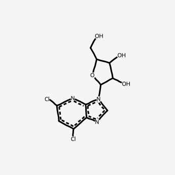 OCC1OC(n2cnc3c(Cl)cc(Cl)nc32)C(O)C1O